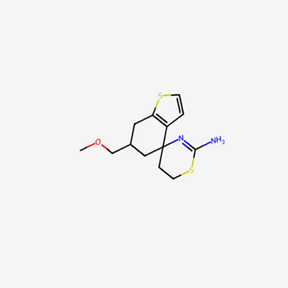 COCC1Cc2sccc2C2(CCSC(N)=N2)C1